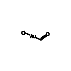 O=[CH][Au][Cl]